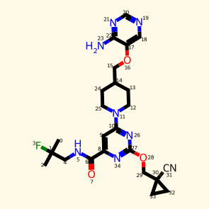 CC(C)(F)CNC(=O)c1cc(N2CCC(COc3cncnc3N)CC2)nc(OCC2(C#N)CC2)n1